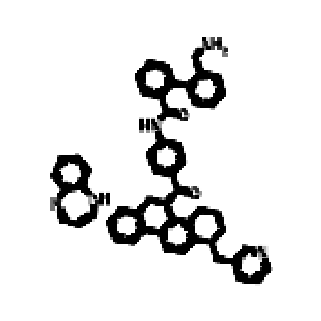 C1=CNc2ccccc2N=C1.NCc1ccccc1-c1ccccc1C(=O)Nc1ccc(C(=O)C2Cc3ccccc3-c3ccc4c(c32)CCCC4Cc2cccnc2)cc1